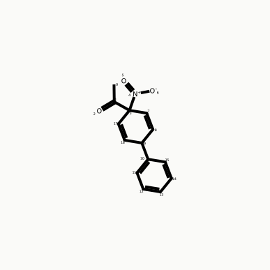 CC(=O)C1([N+](=O)[O-])C=CC(c2ccccc2)C=C1